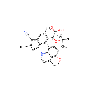 Cc1cc2c(C#N)c(C)ccc2c(-c2ccc3c4c(ccnc24)CCO3)c1[C@H](OC(C)(C)C)C(=O)O